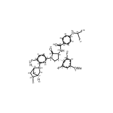 COc1cc(F)c([C@@H]2CN(c3ccc(F)c(N4C[C@@H]5C[C@H]4CN5C)n3)C(=O)[C@H]2NC(=O)c2ccc(OC(F)F)cc2)c(F)c1